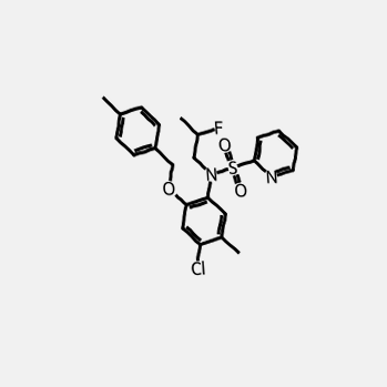 Cc1ccc(COc2cc(Cl)c(C)cc2N(CC(C)F)S(=O)(=O)c2ccccn2)cc1